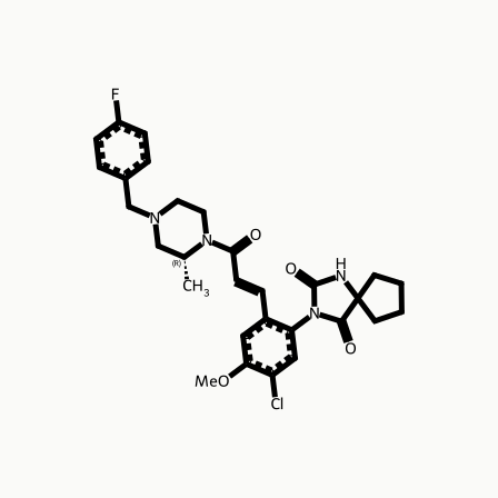 COc1cc(C=CC(=O)N2CCN(Cc3ccc(F)cc3)C[C@H]2C)c(N2C(=O)NC3(CCCC3)C2=O)cc1Cl